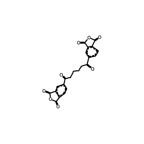 O=C(CCCCC(=O)c1ccc2c(c1)C(=O)OC2=O)c1ccc2c(c1)C(=O)OC2=O